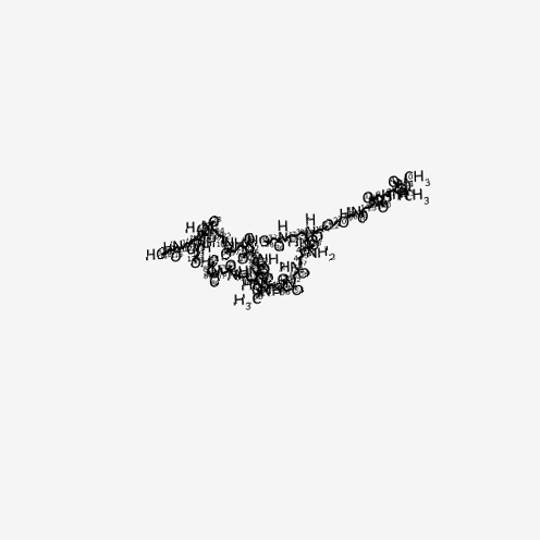 CCNC(=O)C(CSC1CC(=O)N(CCC(=O)NCCOCCOCCC(=O)NC(CCCCNC(=O)CCO)C(=O)NC(CCCCNC(=O)CCN2C(=O)CC(SCC(NC(C)=O)C(=O)NC(CCCCNC(=O)CCN3C(=O)C=CC3=O)C(=O)NC(CSC3CC(=O)C(CCC(=O)NCCCCC(NC(=O)C(CCCCNC(=O)CCO)NC(=O)CCO)C(N)=O)C3=O)C(N)=O)C2=O)C(N)=O)C1=O)NC(C)=O